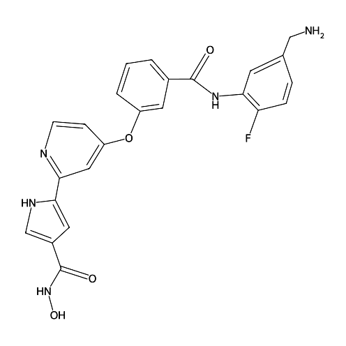 NCc1ccc(F)c(NC(=O)c2cccc(Oc3ccnc(-c4cc(C(=O)NO)c[nH]4)c3)c2)c1